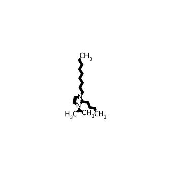 CCCCCCCCCN1C=CN(C(C)C)C1CCCC